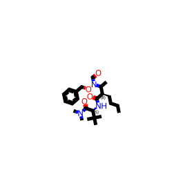 CCCC[C@@H](C(=O)N[C@H](C(=O)N(C)C)C(C)(C)C)C(C)N(C=O)OCc1ccccc1